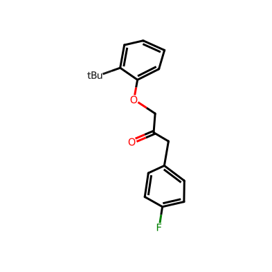 CC(C)(C)c1ccccc1OCC(=O)Cc1ccc(F)cc1